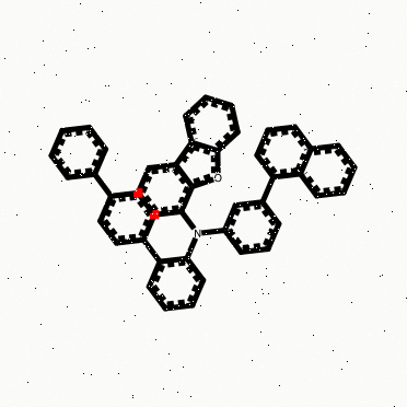 c1ccc(-c2ccc(-c3ccccc3N(c3cccc(-c4cccc5ccccc45)c3)c3cccc4c3oc3ccccc34)cc2)cc1